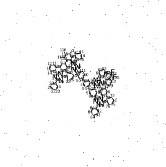 Cc1c(C)c(C)c(-c2cc(-c3ccccc3-c3nc(-c4ccccc4)nc(-c4ccccc4)n3)ccc2-c2nc(-c3ccccc3)nc(-c3ccc(-c4cccc(-c5nc(-c6ccccc6)nc(-c6ccc(-c7ccccc7-c7nc(-c8ccccc8)nc(-c8ccccc8)n7)cc6-c6ccc(C(F)(F)F)cc6)n5)c4)cc3)n2)c(C)c1C